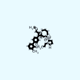 CCCN1NCCC1S(=O)(=O)N1CCCCN2C(COC)C(c3ccc(-c4cccc(C)c4C)cc3)[C@@H]2C1